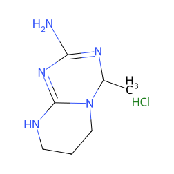 CC1N=C(N)N=C2NCCCN21.Cl